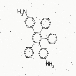 Nc1ccc(-c2cc(-c3ccccc3)c(-c3ccc(N)cc3)c(-c3ccccc3)c2-c2ccccc2)cc1